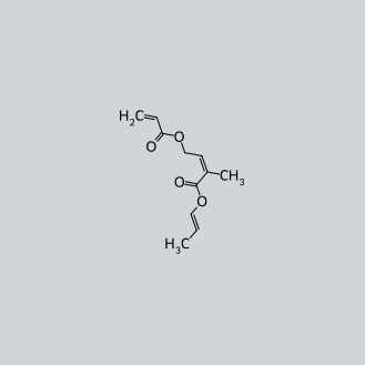 C=CC(=O)OCC=C(C)C(=O)OC=CC